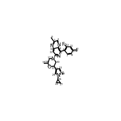 Cc1cnc2c(-c3ccc(F)cc3F)nc(N3CC(C)OC(c4cnn(C5CC5)c4)C3)cc2n1